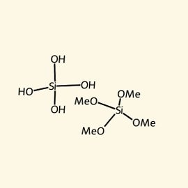 CO[Si](OC)(OC)OC.O[Si](O)(O)O